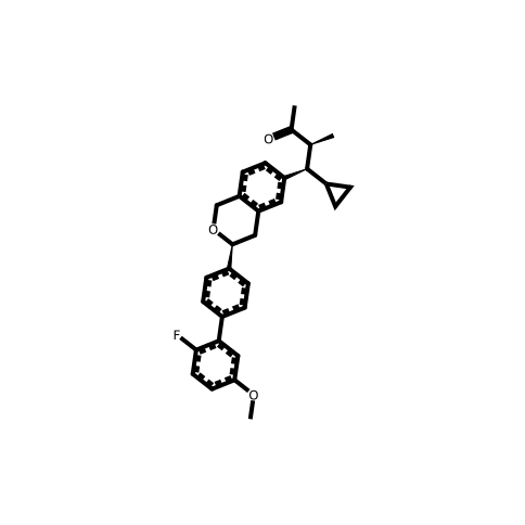 COc1ccc(F)c(-c2ccc([C@@H]3Cc4cc([C@H](C5CC5)[C@H](C)C(C)=O)ccc4CO3)cc2)c1